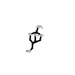 CC12OCC(CO)(CO1)CO2